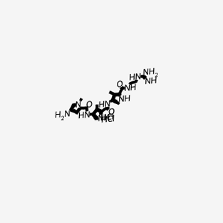 Cc1c(NC(=O)c2[nH]cc(NC(=O)c3cc(N)cn3C)c2C)c[nH]c1C(=O)NCCNC(=N)N.Cl.Cl